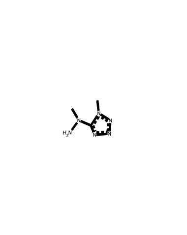 CN(N)c1nnnn1C